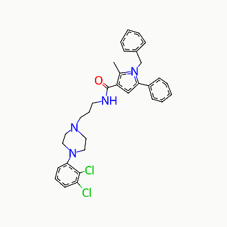 Cc1c(C(=O)NCCCN2CCN(c3cccc(Cl)c3Cl)CC2)cc(-c2ccccc2)n1Cc1ccccc1